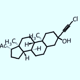 CC(=O)[C@H]1CC[C@H]2[C@@H]3CCC4CC(O)(C#CCl)CC[C@]4(C)[C@H]3CC[C@]12C